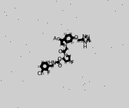 CC(=O)c1cn(CC(=O)N2C[C@H](F)C[C@@H]2OC(=O)NCc2cccc(Cl)c2F)c2cc(OCc3nnn[nH]3)ccc12